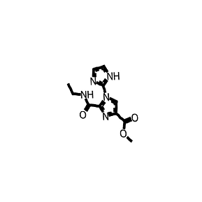 CCNC(=O)c1nc(C(=O)OC)cn1-c1ncc[nH]1